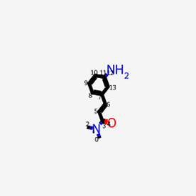 CN(C)C(=O)C=Cc1cccc(N)c1